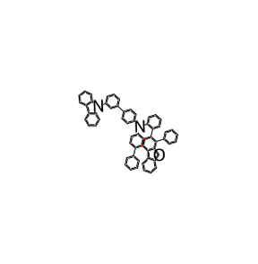 c1ccc(-c2ccc(N(c3ccc(-c4cccc(-n5c6ccccc6c6ccccc65)c4)cc3)c3ccccc3-c3ccc4c(oc5ccccc54)c3-c3ccccc3)cc2)cc1